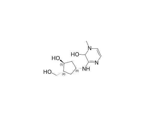 CN1C=CN=C(N[C@@H]2C[C@H](CO)[C@@H](O)C2)C1O